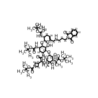 CN(C(=O)OC(C)(C)C)[C@@H]1[C@@H](O)[C@@H](O[C@@H]2[C@@H](O)[C@H](O[C@H]3OC(CNCCCN4C(=O)c5ccccc5C4=O)=CC[C@H]3NC(=O)OC(C)(C)C)[C@@H](NC(=O)OC(C)(C)C)C[C@H]2NC(=O)C(O)C2CN(C(=O)OC(C)(C)C)C2)OC[C@]1(C)O